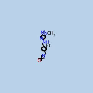 CCc1cc(CN2CC3(COC3)C2)ccc1CNc1cc2c(cn1)ncn2C